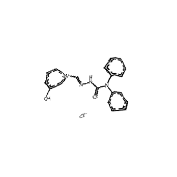 O=C(NN=C[n+]1cccc(O)c1)N(c1ccccc1)c1ccccc1.[Cl-]